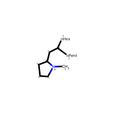 CCCCCCC(CCCCC)CC1CCCN1C